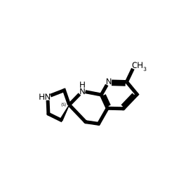 Cc1ccc2c(n1)N[C@]1(CCNC1)CC2